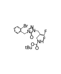 CC(C)(C)OC(=O)NCC(Cn1ncn(Cc2ccccc2Br)c1=O)=C(F)F